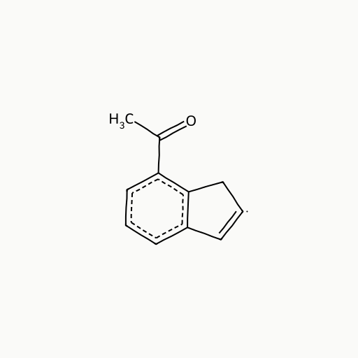 CC(=O)c1cccc2c1C[C]=C2